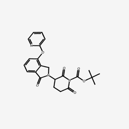 CC(C)(C)OC(=O)N1C(=O)CCC(N2Cc3c(Oc4ccccn4)cccc3C2=O)C1=O